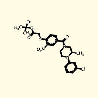 CCC(C)(C)OC(=O)CSc1ccc(C(=O)N2CCN(c3cccc(Cl)c3)[C@H](C)C2)cc1[N+](=O)[O-]